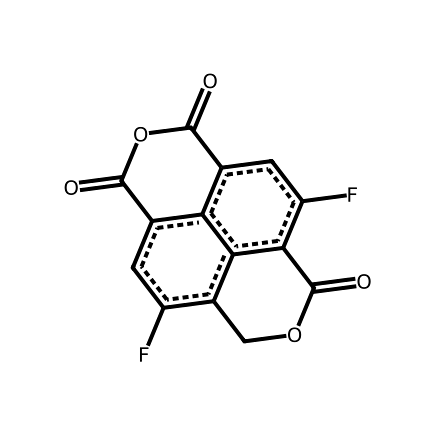 O=C1OC(=O)c2cc(F)c3c4c(c(F)cc1c24)COC3=O